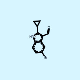 O=Cc1c(C2CC2)[nH]c2ccc(Br)cc12